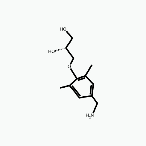 Cc1cc(CN)cc(C)c1OC[C@H](O)CO